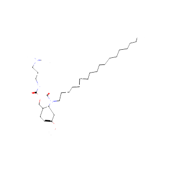 CCCCCCCCCCCCCCCCCCN(C=O)C1CC(OC)=CCC1COC(=O)NCCCN(C)C